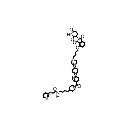 O=C(/C=C/c1cccnc1)NCCCCC1CCN(C(=O)c2ccc(N3CCC(N4CCN(CCCCOc5cccc6c5C(=O)N(C5CCC(=O)NC5=O)C6=O)CC4)CC3)nc2)CC1